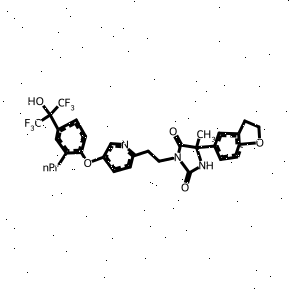 CCCc1cc(C(O)(C(F)(F)F)C(F)(F)F)ccc1Oc1ccc(CCN2C(=O)NC(C)(c3ccc4c(c3)CCO4)C2=O)nc1